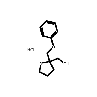 Cl.OCC1(COc2ccccc2)CCCN1